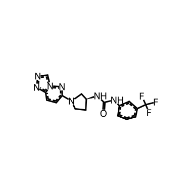 O=C(Nc1cccc(C(F)(F)F)c1)N[C@H]1CCN(c2ccc3nncn3n2)C1